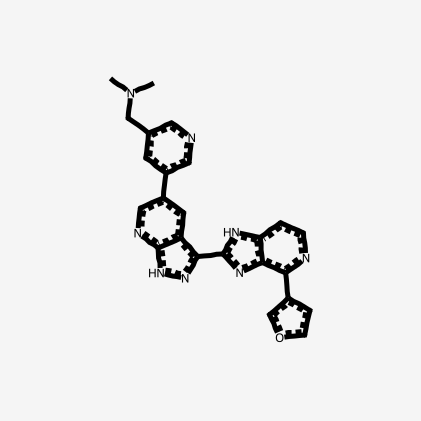 CN(C)Cc1cncc(-c2cnc3[nH]nc(-c4nc5c(-c6ccoc6)nccc5[nH]4)c3c2)c1